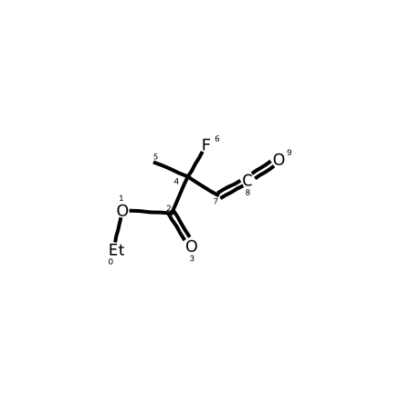 CCOC(=O)C(C)(F)C=C=O